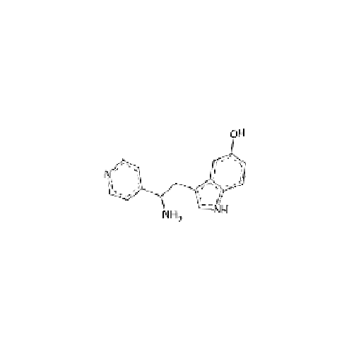 NC(Cc1c[nH]c2ccc(O)cc12)c1ccncc1